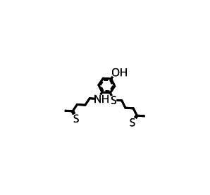 CC(=S)CCCNc1ccc(O)cc1SCCCC(C)=S